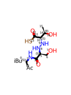 CC[C@H](C)C(NC(=O)[C@H](CO)NN[C@H](C(=O)S)[C@@H](C)O)C(C)=O